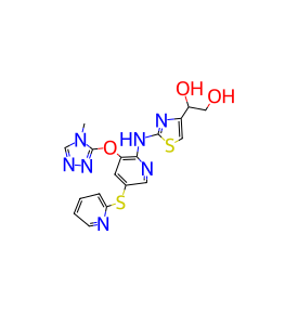 Cn1cnnc1Oc1cc(Sc2ccccn2)cnc1Nc1nc(C(O)CO)cs1